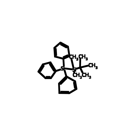 CC(C)(C)[Si](C)(C)[Si](c1ccccc1)(c1ccccc1)c1ccccc1